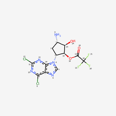 N[C@H]1C[C@@H](n2cnc3c(Cl)nc(Cl)nc32)[C@H](OC(=O)C(F)(F)F)[C@@H]1O